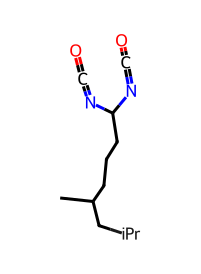 CC(C)CC(C)CCCC(N=C=O)N=C=O